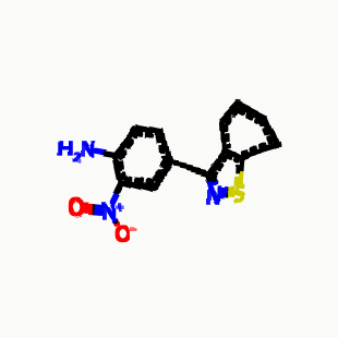 Nc1ccc(-c2nsc3ccccc23)cc1[N+](=O)[O-]